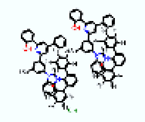 Cl.[2H]c1c([2H])c([2H])c(-c2cccc(-c3c([2H])c([2H])c([2H])c([2H])c3[2H])c2-[n+]2cn(-c3cc(-c4cc(-c5ccccc5)cc(-c5ccccc5O)n4)cc(C(C)(C)C)c3)c3ccccc32)c([2H])c1[2H].[2H]c1c([2H])c([2H])c(-c2cccc(-c3c([2H])c([2H])c([2H])c([2H])c3[2H])c2-[n+]2cn(-c3cc(-c4cc(-c5ccccc5)cc(-c5ccccc5O)n4)cc(C(C)(C)C)c3)c3ccccc32)c([2H])c1[2H]